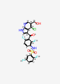 O=C(c1c(F)ccc(NS(=O)(=O)c2cc(F)ccc2F)c1F)c1c[nH]c2ncc(CO)c(Cl)c12